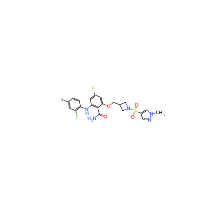 Cn1cc(S(=O)(=O)N2CC(COc3cc(F)cc(Nc4ccc(I)cc4F)c3C(N)=O)C2)cn1